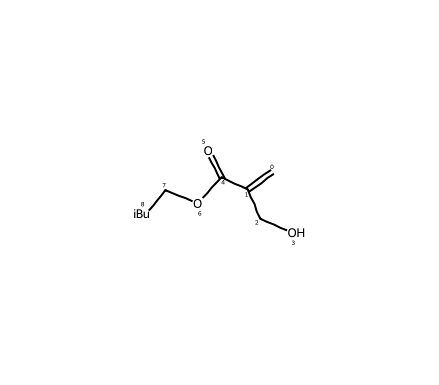 C=C(CO)C(=O)OCC(C)CC